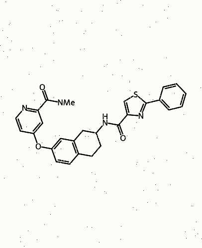 CNC(=O)c1cc(Oc2ccc3c(c2)CC(NC(=O)c2csc(-c4ccccc4)n2)CC3)ccn1